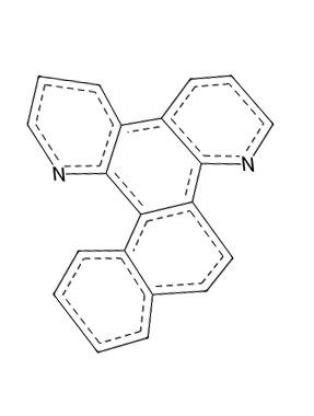 c1ccc2c(c1)ccc1c3ncccc3c3cccnc3c21